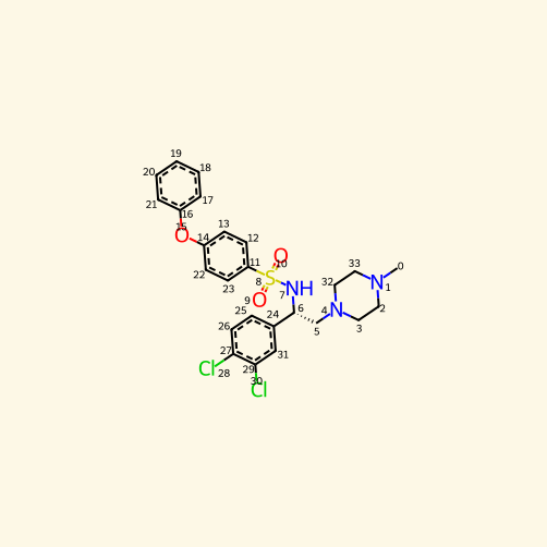 CN1CCN(C[C@@H](NS(=O)(=O)c2ccc(Oc3ccccc3)cc2)c2ccc(Cl)c(Cl)c2)CC1